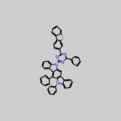 c1ccc(-c2nc(-c3ccc4c(c3)sc3ccccc34)nc(-n3c4ccccc4c4c(-c5ccccc5)c5c(cc43)c3ccccc3n5-c3ccccc3)n2)cc1